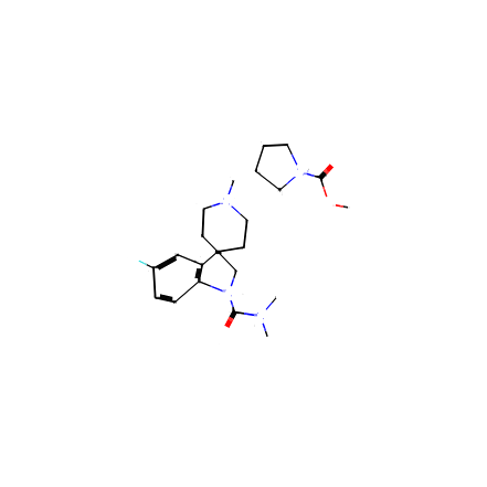 CC(C)OC(=O)N1CC[C@@H](CN2CCC3(CC2)CN(C(=O)N(C)C)c2ccc(F)cc23)C1